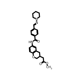 COC(=O)CC1COc2ccc(NC(=O)c3ccc(C=NN4CCCCC4)cc3)cc2C1